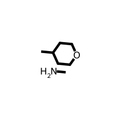 CC1CCOCC1.CN